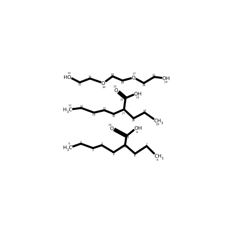 CCCCCC(CCC)C(=O)O.CCCCCC(CCC)C(=O)O.OCCOCCOCCO